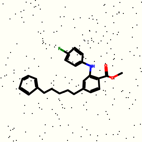 COC(=O)c1ccc(CCCCCc2ccccc2)cc1Nc1ccc(F)cc1